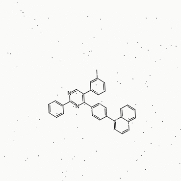 Cc1cccc(-c2cnc(-c3ccccc3)nc2-c2ccc(-c3cccc4ccccc34)cc2)c1